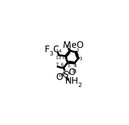 COc1cccc(C(C)S(N)(=O)=O)c1CC(F)(F)F